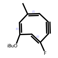 CC1=C/C#C/C(F)=C/C(OCC(C)C)=C\1